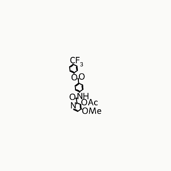 COc1ccnc(C(=O)Nc2ccc(C(=O)Oc3ccc(C(F)(F)F)cc3)cc2)c1OC(C)=O